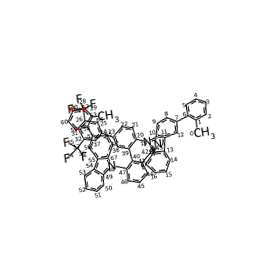 Cc1ccccc1-c1ccc2c(c1)c1ccccc1n2-c1ccc(-c2cc(C(F)(F)F)cc(C(F)(F)F)c2)cc1-c1c(C#N)cccc1-n1c2ccccc2c2cc(-c3ccccc3C)ccc21